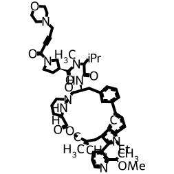 CCn1c(-c2cccnc2[C@H](C)OC)c2c3cc(ccc31)-c1cccc(c1)C[C@H](NC(=O)C(C(C)C)N(C)C(=O)[C@H]1CCN(C(=O)C#CCN3CCOCC3)C1)C(=O)N1CCC[C@H](N1)C(=O)OCC(C)(C)C2